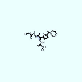 CCNC(=S)N/N=C(/C(C)=N/NC(=S)NCC)c1ccc(C(C)N2CCOCC2)o1